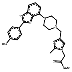 CNC(=O)Cn1cc(CN2CCN(c3cccc4[nH]c(-c5ccc(C(C)(C)C)cc5)nc34)CC2)nc1C